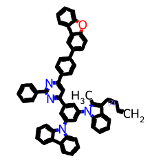 C=C/C=C\c1c(C)n(-c2cc(-c3cc(-c4ccc(-c5ccc6oc7ccccc7c6c5)cc4)nc(-c4ccccc4)n3)cc(-n3c4ccccc4c4ccccc43)c2)c2ccccc12